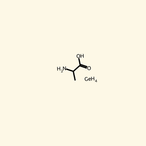 CC(N)C(=O)O.[GeH4]